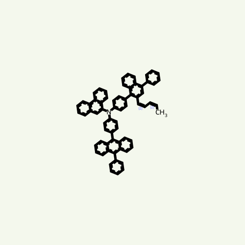 C/C=C\C=C/c1cc(-c2ccccc2)c2ccccc2c1-c1ccc(N(c2ccc(-c3c4ccccc4c(-c4ccccc4)c4ccccc34)cc2)c2cc3ccccc3c3ccccc23)cc1